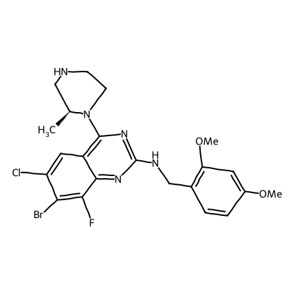 COc1ccc(CNc2nc(N3CCNC[C@@H]3C)c3cc(Cl)c(Br)c(F)c3n2)c(OC)c1